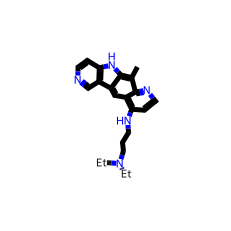 CCN(CC)CCCNc1ccnc2c(C)c3[nH]c4ccncc4c3cc12